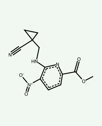 COC(=O)c1ccc([N+](=O)[O-])c(NCC2(C#N)CC2)n1